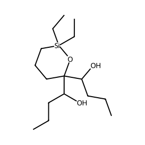 CCCC(O)C1(C(O)CCC)CCC[Si](CC)(CC)O1